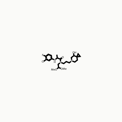 COC(CN(CCCN1CCC2(CC2)C(O)C1)C(=O)C(C)Nc1ccc(F)c(Cl)c1)OC